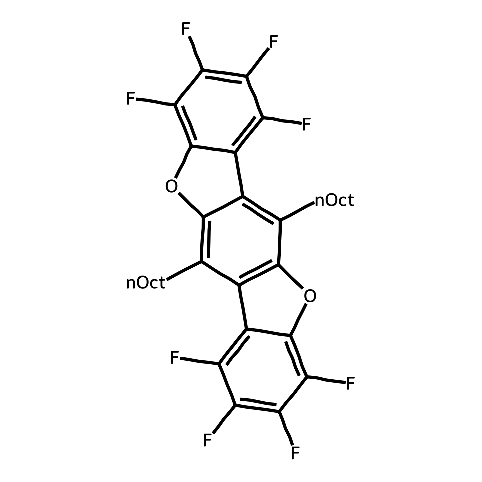 CCCCCCCCc1c2oc3c(F)c(F)c(F)c(F)c3c2c(CCCCCCCC)c2oc3c(F)c(F)c(F)c(F)c3c12